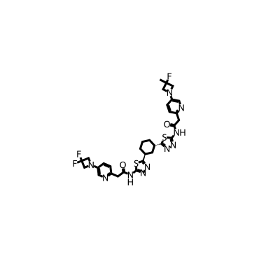 CC1(F)CN(c2ccc(CC(=O)Nc3nnc([C@H]4CCC[C@H](c5nnc(NC(=O)Cc6ccc(N7CC(F)(F)C7)cn6)s5)C4)s3)nc2)C1